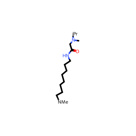 CNCCCCCCCCNC(=O)CN(C)C(C)C